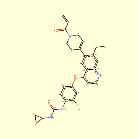 C=CC(=O)N1CC=C(c2cc3c(Oc4ccc(NC(=O)NC5CC5)c(Cl)c4)ccnc3cc2CC)CC1